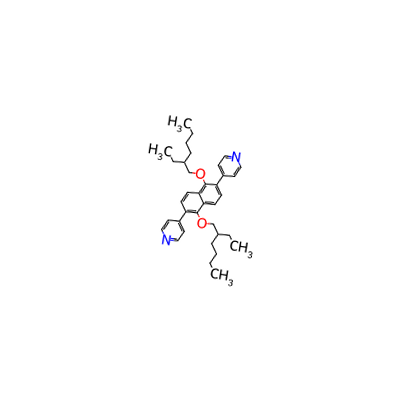 CCCCC(CC)COc1c(-c2ccncc2)ccc2c(OCC(CC)CCCC)c(-c3ccncc3)ccc12